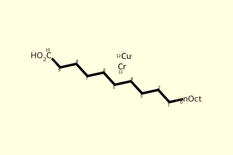 CCCCCCCCCCCCCCCCCC(=O)O.[Cr].[Cu]